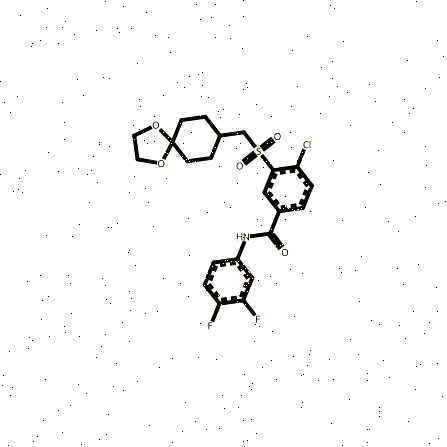 O=C(Nc1ccc(F)c(F)c1)c1ccc(Cl)c(S(=O)(=O)CC2CCC3(CC2)OCCO3)c1